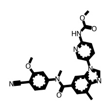 COC(=O)Nc1ccc(-n2cnc3c(C)cc(C(=O)N(C)c4ccc(C#N)c(OC)c4)cc32)cn1